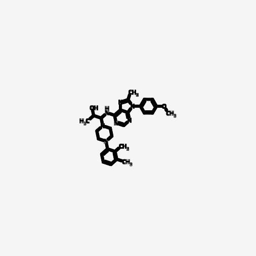 COc1ccc(-n2c(C)nc3c(NC(C(C)O)N4CCN(c5cccc(C)c5C)CC4)ncnc32)cc1